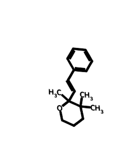 CC1(C)CCCOC1(C)/C=C/c1ccccc1